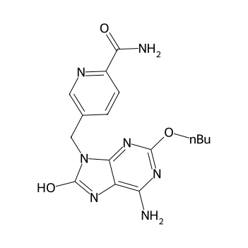 CCCCOc1nc(N)c2nc(O)n(Cc3ccc(C(N)=O)nc3)c2n1